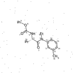 CCN(C(=O)[C@@H](NC(=O)OC(C)C)C(C)C)c1cccc(C)c1